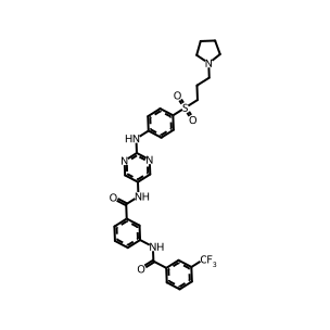 O=C(Nc1cnc(Nc2ccc(S(=O)(=O)CCCN3CCCC3)cc2)nc1)c1cccc(NC(=O)c2cccc(C(F)(F)F)c2)c1